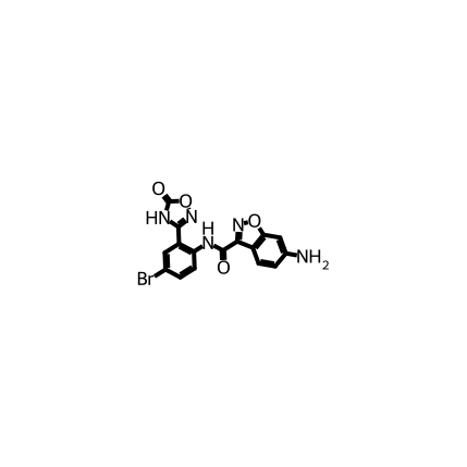 Nc1ccc2c(C(=O)Nc3ccc(Br)cc3-c3noc(=O)[nH]3)noc2c1